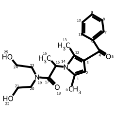 Cc1cc(C(=O)c2ccccc2)c(C)n1C(C)C(=O)N(CCO)CCO